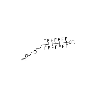 C=COCCOCCCC(F)(F)C(F)(F)C(F)(F)C(F)(F)C(F)(F)C(F)(F)C(F)(F)C(F)(F)F